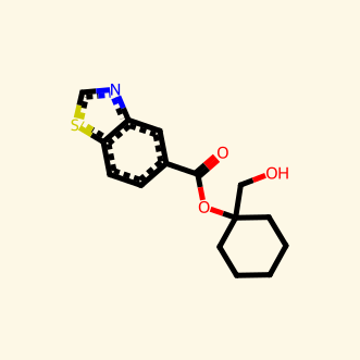 O=C(OC1(CO)CCCCC1)c1ccc2scnc2c1